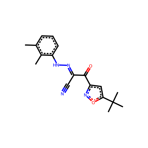 Cc1cccc(N/N=C(\C#N)C(=O)c2cc(C(C)(C)C)on2)c1C